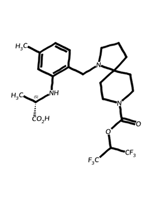 Cc1ccc(CN2CCCC23CCN(C(=O)OC(C(F)(F)F)C(F)(F)F)CC3)c(N[C@@H](C)C(=O)O)c1